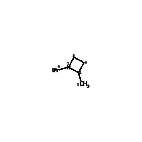 CC(C)N1CCC1C